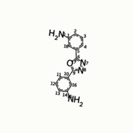 Nc1cccc(-c2nnc(-c3cccc(N)c3)o2)c1